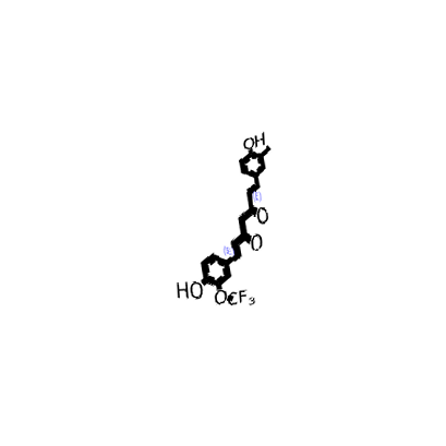 Cc1cc(/C=C/C(=O)CC(=O)/C=C/c2ccc(O)c(OC(F)(F)F)c2)ccc1O